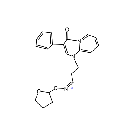 O=c1c(-c2ccccc2)cn(CC/C=N\OC2CCCO2)c2cccc[n+]12